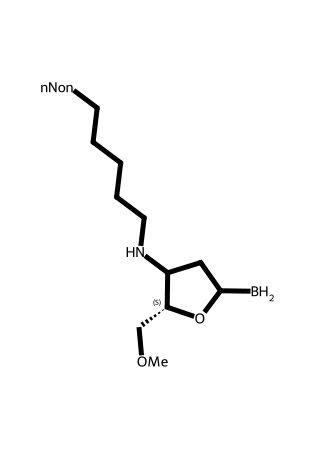 BC1CC(NCCCCCCCCCCCCCC)[C@@H](COC)O1